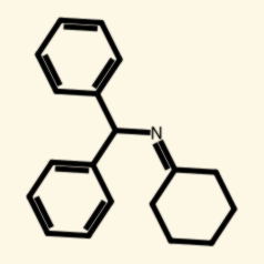 c1ccc(C(N=C2CCCCC2)c2ccccc2)cc1